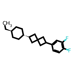 CC[C@H]1CC[C@H](C2CC3(CC(c4ccc(F)c(F)c4)C3)C2)CC1